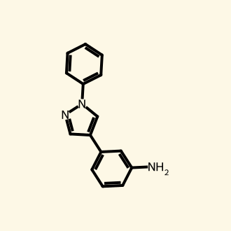 Nc1cccc(-c2cnn(-c3ccccc3)c2)c1